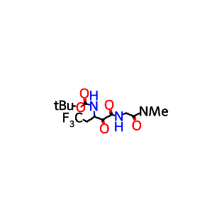 CNC(=O)CNC(=O)C(=O)C(CC(F)(F)F)NC(=O)OC(C)(C)C